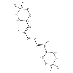 CC(C=CC=C(C)C1OCC(C)(C)CO1)=CC1OCC(C)(C)CO1